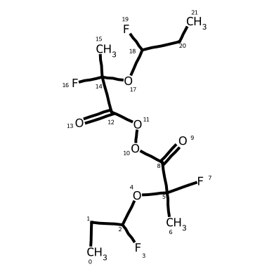 CCC(F)OC(C)(F)C(=O)OOC(=O)C(C)(F)OC(F)CC